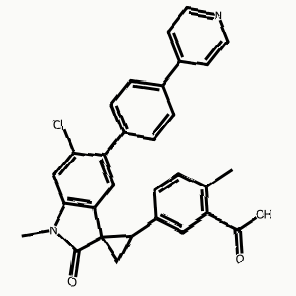 Cc1ccc(C2CC23C(=O)N(C)c2cc(Cl)c(-c4ccc(-c5ccncc5)cc4)cc23)cc1C(=O)O